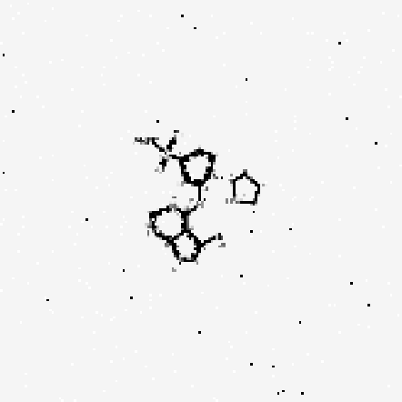 CNS(=O)(=O)c1ccc([C@@H]2CCCN2)c(Nc2nc[nH]c3ncc(Br)c2-3)c1